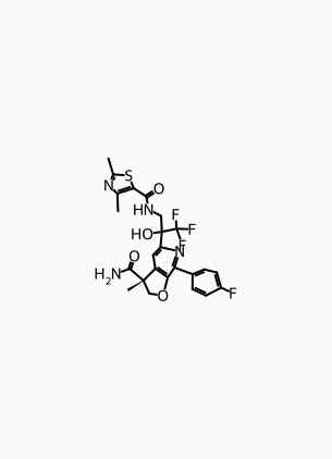 Cc1nc(C)c(C(=O)NCC(O)(c2cc3c(c(-c4ccc(F)cc4)n2)OC[C@]3(C)C(N)=O)C(F)(F)F)s1